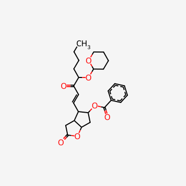 CCCCC(OC1CCCCO1)C(=O)C=CC1C(OC(=O)c2ccccc2)CC2OC(=O)CC21